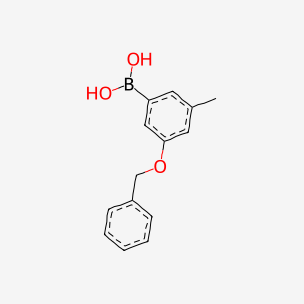 Cc1cc(OCc2ccccc2)cc(B(O)O)c1